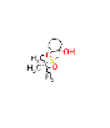 CC(C)(C)S(=O)(=O)CC1(O)CCCCC1